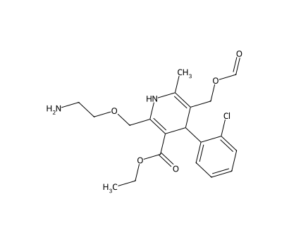 CCOC(=O)C1=C(COCCN)NC(C)=C(COC=O)C1c1ccccc1Cl